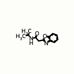 CC(C)NC(=O)Cc1nc2ccccc2o1